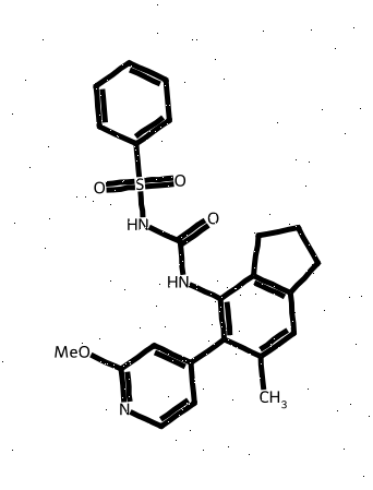 COc1cc(-c2c(C)cc3c(c2NC(=O)NS(=O)(=O)c2ccccc2)CCC3)ccn1